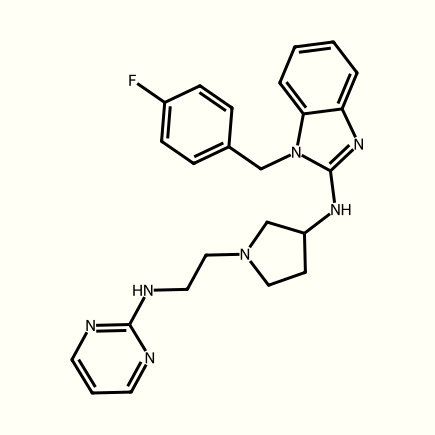 Fc1ccc(Cn2c(NC3CCN(CCNc4ncccn4)C3)nc3ccccc32)cc1